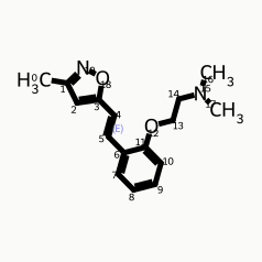 Cc1cc(/C=C/c2ccccc2OCCN(C)C)on1